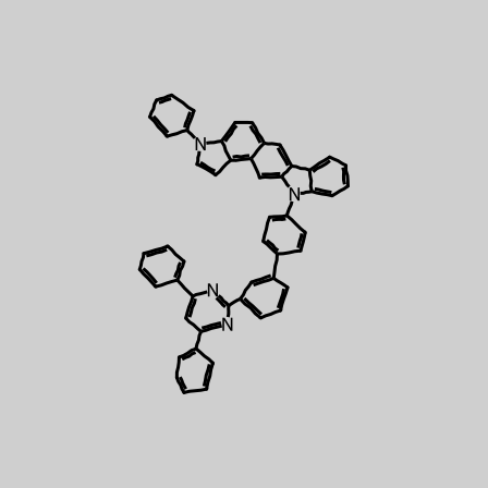 c1ccc(-c2cc(-c3ccccc3)nc(-c3cccc(-c4ccc(-n5c6ccccc6c6cc7ccc8c(ccn8-c8ccccc8)c7cc65)cc4)c3)n2)cc1